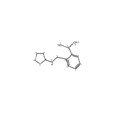 OB(O)c1ccccc1CNC1CCCC1